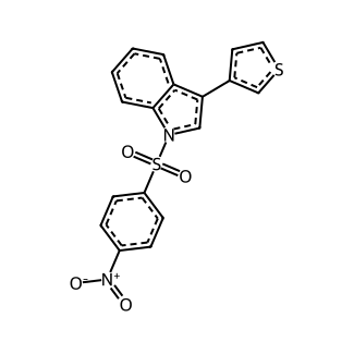 O=[N+]([O-])c1ccc(S(=O)(=O)n2cc(-c3ccsc3)c3ccccc32)cc1